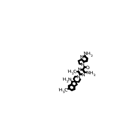 Cc1ccc2c(c1)C(N)C1(CCN(c3nc(N)c(C(=O)N4CCc5nc(N)ccc54)nc3C)CC1)C2